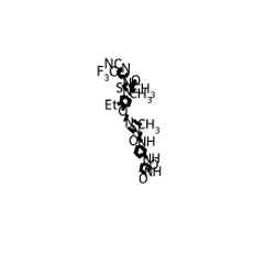 CCc1cc(N2C(=S)N(c3cnc(C#N)c(C(F)(F)F)c3)C(=O)C2(C)C)ccc1OCCN1CCN(CC(=O)Nc2cccc(NC3CCC(=O)NC3=O)c2)C(C)C1